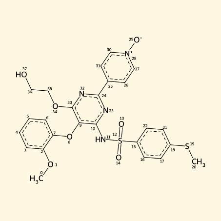 COc1ccccc1Oc1c(NS(=O)(=O)c2ccc(SC)cc2)nc(-c2cc[n+]([O-])cc2)nc1OCCO